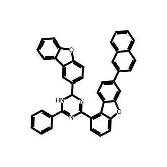 c1ccc(C2=NC(c3cccc4oc5cc(-c6ccc7ccccc7c6)ccc5c34)=NC(c3ccc4oc5ccccc5c4c3)N2)cc1